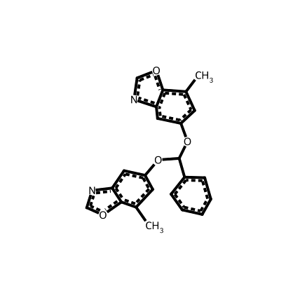 Cc1cc(OC(Oc2cc(C)c3ocnc3c2)c2ccccc2)cc2ncoc12